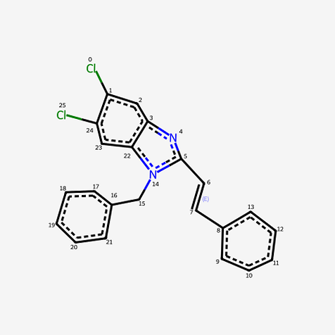 Clc1cc2nc(/C=C/c3ccccc3)n(Cc3ccccc3)c2cc1Cl